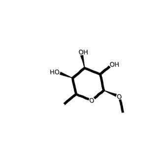 CO[C@H]1OC(C)[C@@H](O)[C@@H](O)C1O